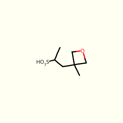 CC(CC1(C)COC1)S(=O)(=O)O